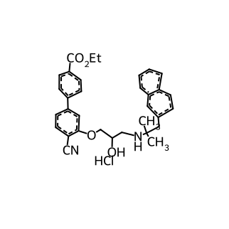 CCOC(=O)c1ccc(-c2ccc(C#N)c(OCC(O)CNC(C)(C)Cc3ccc4ccccc4c3)c2)cc1.Cl